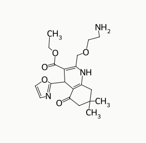 CCOC(=O)C1=C(COCCN)NC2=C(C(=O)CC(C)(C)C2)C1c1ncco1